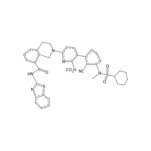 CN(c1cccc(-c2ccc(N3CCc4cccc(C(=O)Nc5nc6ccccc6s5)c4C3)nc2C(=O)O)c1C#N)S(=O)(=O)C1CCCCC1